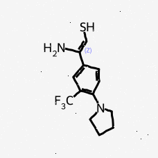 N/C(=C\S)c1ccc(N2CCCC2)c(C(F)(F)F)c1